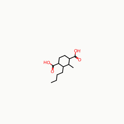 CCCCC1C(C(=O)O)CCC(C(=O)O)C1C